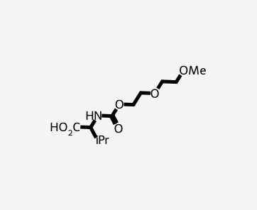 COCCOCCOC(=O)NC(C(=O)O)C(C)C